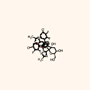 Cc1nc(C2(n3cc(-c4ccc(Cl)c(F)c4F)cn3)O[C@H](CO)[C@H](O)C[C@]2(O)n2cc(-c3ccc(Cl)c(F)c3F)cn2)n(-c2cc3sc(C)nc3cc2Br)n1